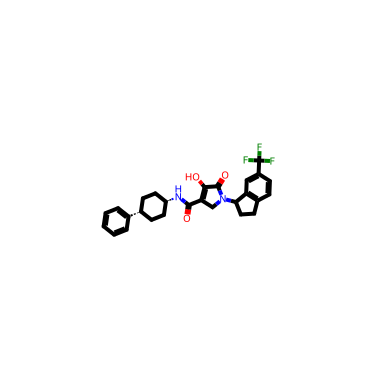 O=C(N[C@H]1CC[C@@H](c2ccccc2)CC1)C1=C(O)C(=O)N(C2CCc3ccc(C(F)(F)F)cc32)C1